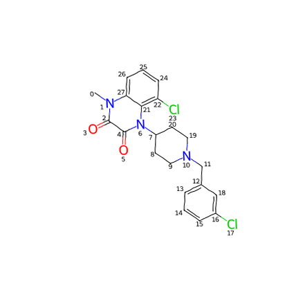 Cn1c(=O)c(=O)n(C2CCN(Cc3cccc(Cl)c3)CC2)c2c(Cl)cccc21